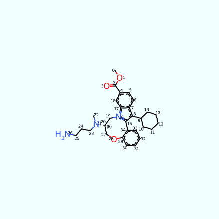 COC(=O)c1ccc2c(C3CCCCC3)c3n(c2c1)C[C@@H](N(C)CCCN)COc1ccccc1-3